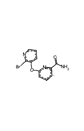 NC(=O)c1[c]ccc(Oc2cccnc2Br)n1